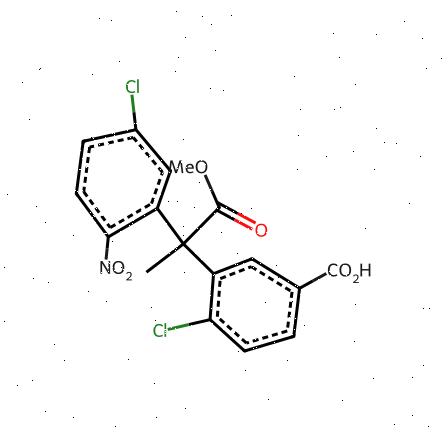 COC(=O)C(C)(c1cc(C(=O)O)ccc1Cl)c1cc(Cl)ccc1[N+](=O)[O-]